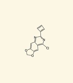 Clc1nc(C2=CC=C2)nc2cc3c(cc12)OCO3